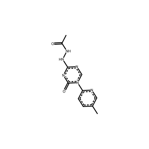 CC(=O)NNc1ncn(-c2ccc(C)cn2)c(=O)n1